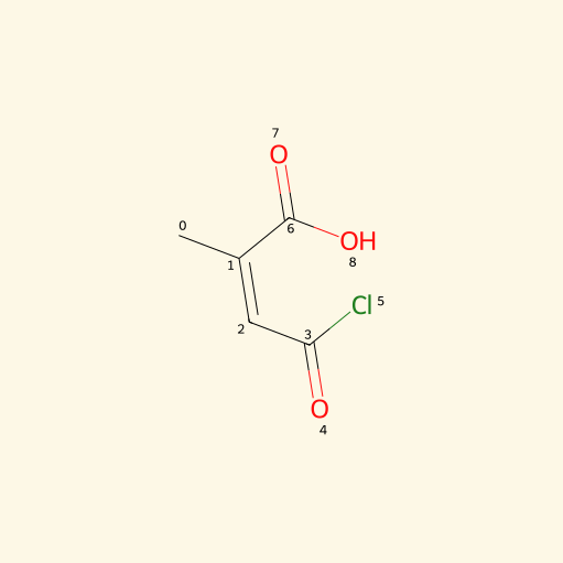 CC(=CC(=O)Cl)C(=O)O